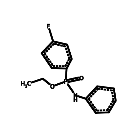 CCOP(=O)(Nc1ccccc1)c1ccc(F)cc1